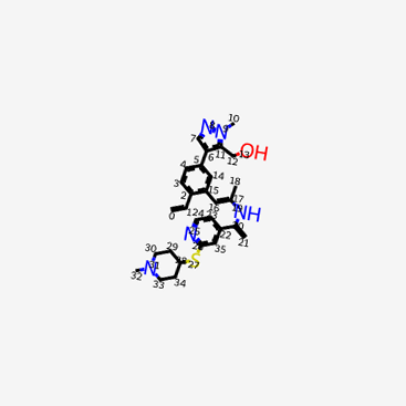 C=Cc1ccc(-c2cnn(C)c2CO)cc1/C=C(\C)NC(=C)c1ccnc(SC2CCN(C)CC2)c1